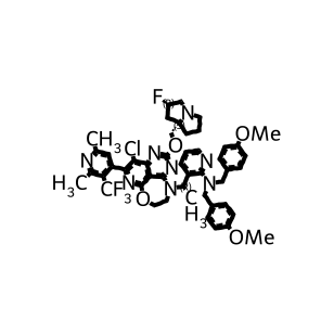 COc1ccc(CN(Cc2ccc(OC)cc2)c2ncccc2[C@@H](C)N2CCOc3nc(-c4cc(C)nc(C)c4C(F)(F)F)c(Cl)c4nc(OC[C@@]56CCCN5C[C@H](F)C6)nc2c34)cc1